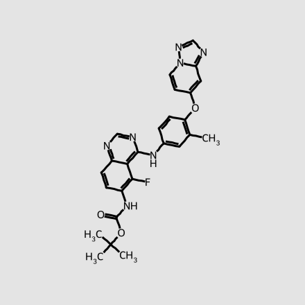 Cc1cc(Nc2ncnc3ccc(NC(=O)OC(C)(C)C)c(F)c23)ccc1Oc1ccn2ncnc2c1